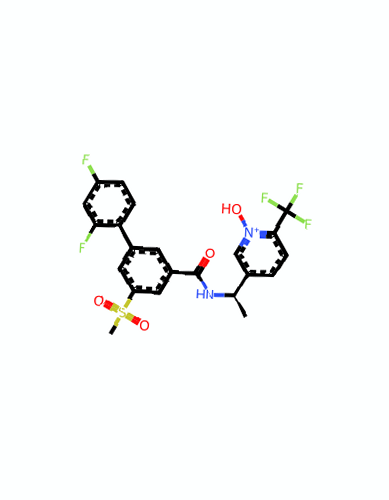 C[C@@H](NC(=O)c1cc(-c2ccc(F)cc2F)cc(S(C)(=O)=O)c1)c1ccc(C(F)(F)F)[n+](O)c1